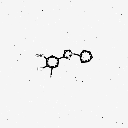 O=Cc1cc(-c2ccn(-c3ccccc3)n2)cc(F)c1O